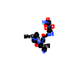 COc1cccc(F)c1-c1nccc(C(=O)Nc2ccc(-c3cnccc3C#N)cc2N2CCN(C(=O)CCNc3ccc4c(c3)C(=O)N(C3CCC(=O)NC3=O)C4=O)CC2)n1